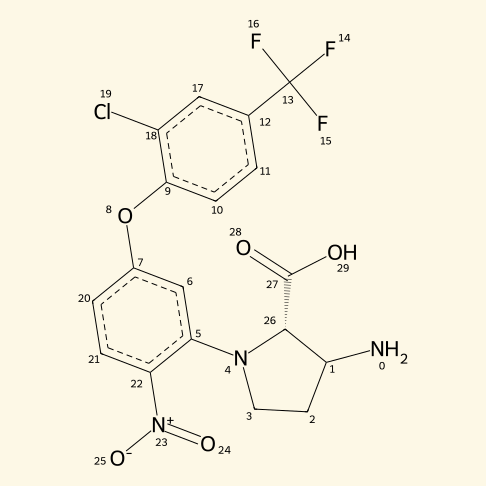 NC1CCN(c2cc(Oc3ccc(C(F)(F)F)cc3Cl)ccc2[N+](=O)[O-])[C@@H]1C(=O)O